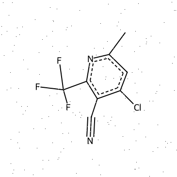 Cc1cc(Cl)c(C#N)c(C(F)(F)F)n1